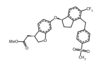 COC(=O)C[C@@H]1COc2cc(O[C@@H]3CCc4c3ccc(C(F)(F)F)c4Cc3ccc(S(C)(=O)=O)cc3)ccc21